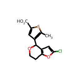 Cc1sc(C(=O)O)cc1C1OCCc2oc(Cl)cc21